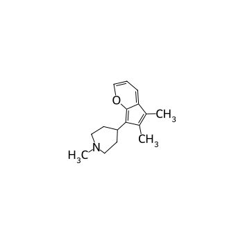 Cc1c2cccoc-2c(C2CCN(C)CC2)c1C